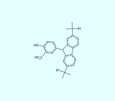 CCC(C)(C)c1ccc2c(c1)C(c1ccc(O)c(C(=O)O)c1)c1cc(C(C)(C)CC)ccc1-2